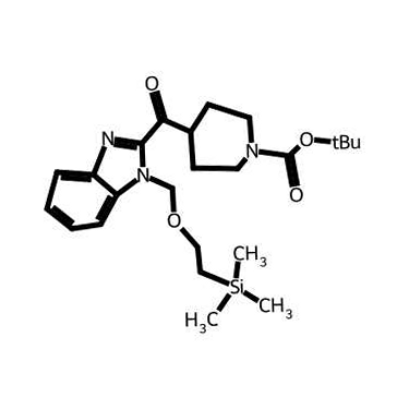 CC(C)(C)OC(=O)N1CCC(C(=O)c2nc3ccccc3n2COCC[Si](C)(C)C)CC1